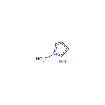 Cl.O=C(O)n1cccc1